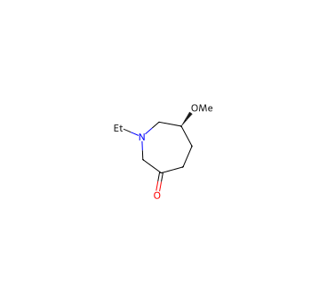 CCN1CC(=O)CC[C@H](OC)C1